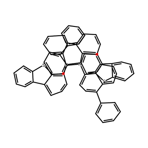 c1ccc(-c2ccccc2N(c2ccccc2-c2ccccc2N(c2ccc3c(c2)sc2ccccc23)c2cccc3c2sc2ccccc23)c2ccc(-c3ccccc3)c3ccccc23)cc1